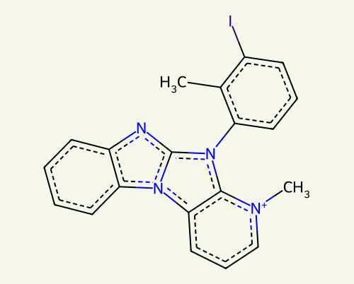 Cc1c(I)cccc1-n1c2nc3ccccc3n2c2ccc[n+](C)c21